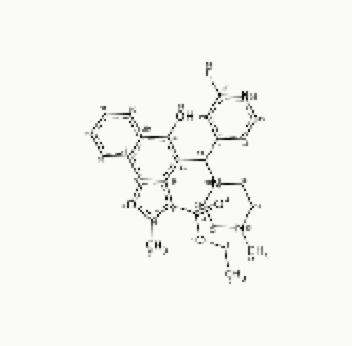 CCOC(=O)c1c(C)oc2c1c(C(c1ccnc(F)c1)N1CCN(C)CC1)c(O)c1ccccc12